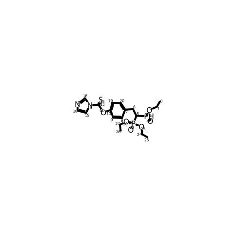 CCO[PH](=O)C(Cc1ccc(OC(=S)n2ccnc2)cc1)P(=O)(OCC)OCC